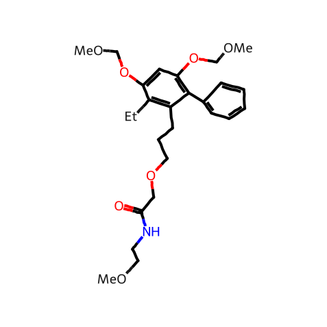 CCc1c(OCOC)cc(OCOC)c(-c2ccccc2)c1CCCOCC(=O)NCCOC